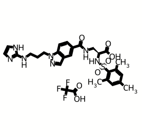 Cc1cc(C)c(S(=O)(=O)N[C@@H](CNC(=O)c2ccc3c(cnn3CCCNc3ncc[nH]3)c2)C(=O)O)c(C)c1.O=C(O)C(F)(F)F